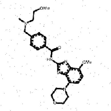 COCCN(C)Cc1ccc(C(=O)Nc2nc3c(OC)ccc(N4CCOCC4)c3s2)cc1